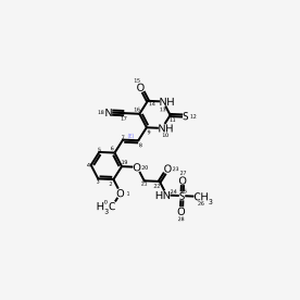 COc1cccc(/C=C/c2[nH]c(=S)[nH]c(=O)c2C#N)c1OCC(=O)NS(C)(=O)=O